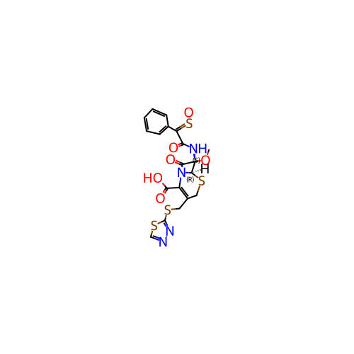 CO[C@@]1(NC(=O)C(=S=O)c2ccccc2)C(=O)N2C(C(=O)O)=C(CSc3nncs3)CS[C@@H]21